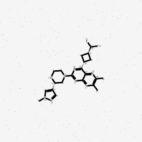 Cc1nc2nc(N3CCO[C@@H](c4cnn(C)c4)C3)nc([C@H]3C[C@H](C(F)F)C3)c2nc1C